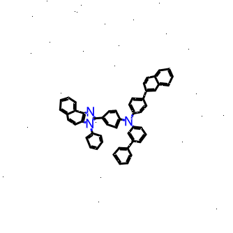 c1ccc(-c2cccc(N(c3ccc(-c4ccc5ccccc5c4)cc3)c3ccc(-c4nc5c6ccccc6ccc5n4-c4ccccc4)cc3)c2)cc1